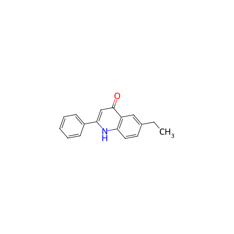 CCc1ccc2[nH]c(-c3ccccc3)cc(=O)c2c1